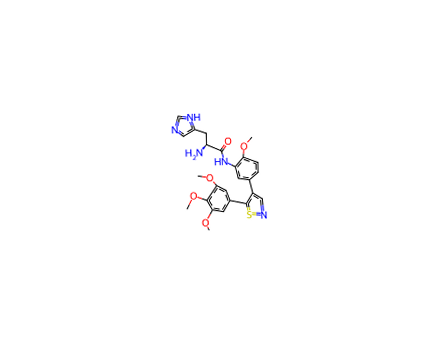 COc1ccc(-c2cnsc2-c2cc(OC)c(OC)c(OC)c2)cc1NC(=O)[C@@H](N)Cc1cnc[nH]1